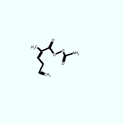 C=CCC=C(C)C(=O)OOC(N)=O